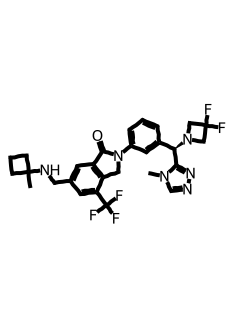 Cn1cnnc1[C@@H](c1cccc(N2Cc3c(cc(CNC4(C)CCC4)cc3C(F)(F)F)C2=O)c1)N1CC(F)(F)C1